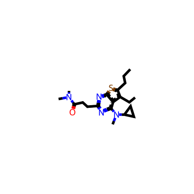 CCCc1sc2nc(CCC(=O)N(C)C)nc(N(C)C3CC3)c2c1CC